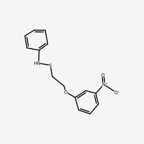 O=[N+]([O-])c1cccc(OCCSNc2ccccc2)c1